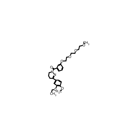 CCOc1cc(C2=NN(C(=O)c3cccc(OCCOCCOCCOC)c3)CCC2)ccc1OC